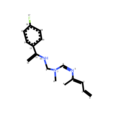 C=C/C=C(C)/N=C\N(C)CNC(=C)c1ccc(F)cc1